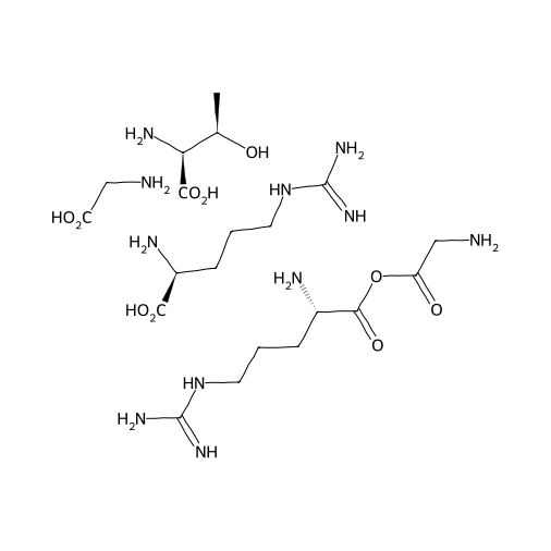 C[C@@H](O)[C@H](N)C(=O)O.N=C(N)NCCC[C@H](N)C(=O)O.N=C(N)NCCC[C@H](N)C(=O)OC(=O)CN.NCC(=O)O